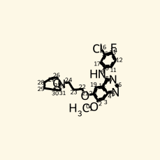 COc1cc2ncnc(Nc3ccc(F)c(Cl)c3)c2cc1OCCCN1CC2CCC(C1)O2